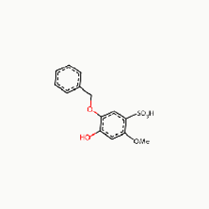 COc1cc(O)c(OCc2ccccc2)cc1S(=O)(=O)O